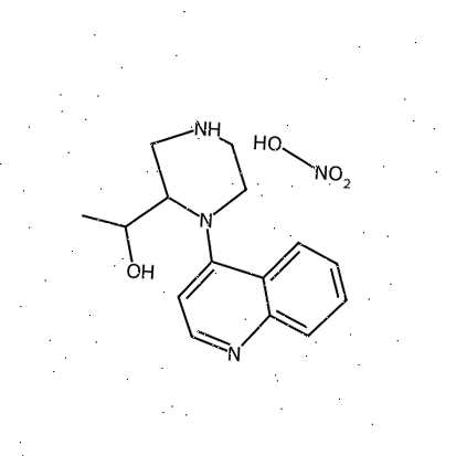 CC(O)C1CNCCN1c1ccnc2ccccc12.O=[N+]([O-])O